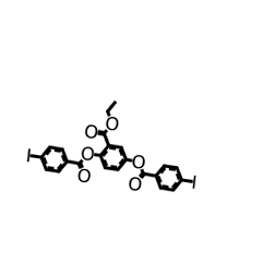 CCOC(=O)c1cc(OC(=O)c2ccc(I)cc2)ccc1OC(=O)c1ccc(I)cc1